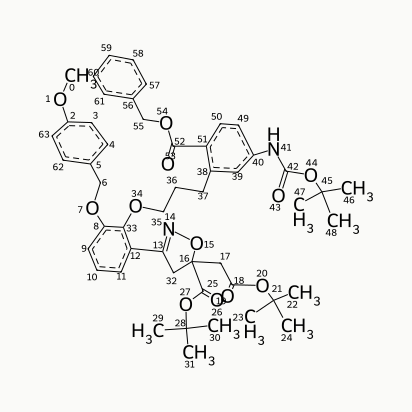 COc1ccc(COc2cccc(C3=NOC(CC(=O)OC(C)(C)C)(C(=O)OC(C)(C)C)C3)c2OCCCc2cc(NC(=O)OC(C)(C)C)ccc2C(=O)OCc2ccccc2)cc1